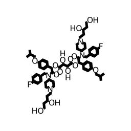 CC(C)COc1ccc(C(OC(=O)C(O)C(O)C(=O)OC(C(=O)N(Cc2ccc(F)cc2)C2CCN(CC[C@H](O)CCO)CC2)c2ccc(OCC(C)C)cc2)C(=O)N(Cc2ccc(F)cc2)C2CCN(CC[C@H](O)CCO)CC2)cc1